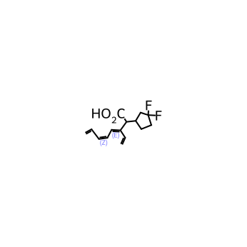 C=C/C=C\C=C(/C=C)C(C(=O)O)C1CCC(F)(F)C1